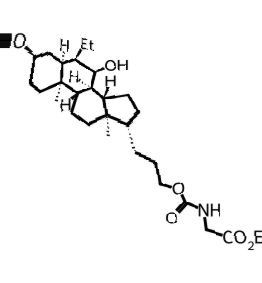 CCOC(=O)CNC(=O)OCCC[C@H]1CC[C@H]2[C@@H]3[C@H](O)[C@H](CC)[C@@H]4C[C@H](O)CC[C@]4(C)[C@H]3CC[C@]12C